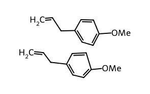 C=CCc1ccc(OC)cc1.C=CCc1ccc(OC)cc1